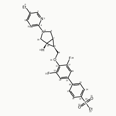 CCc1cnc(N2CC3[C@@H](COc4c(F)cc(-c5ccc(S(=O)(=O)CC)cc5)cc4F)[C@@H]3C2)nc1